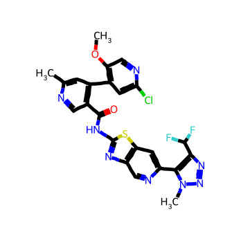 COc1cnc(Cl)cc1-c1cc(C)ncc1C(=O)Nc1nc2cnc(-c3c(C(F)F)nnn3C)cc2s1